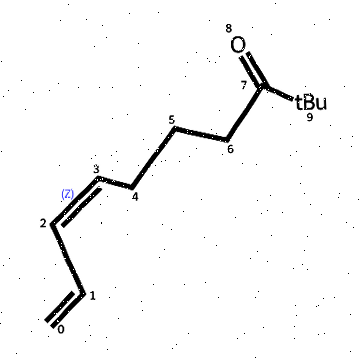 C=C/C=C\CCCC(=O)C(C)(C)C